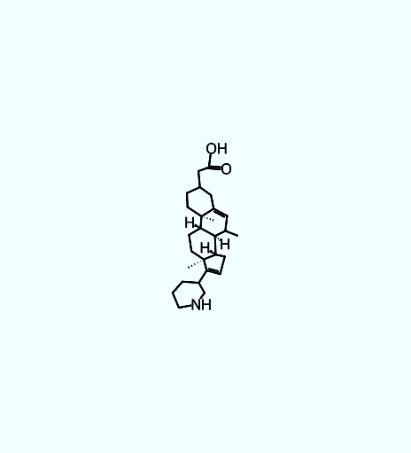 CC1C=C2CC(CC(=O)O)CC[C@]2(C)[C@H]2CC[C@]3(C)C(C4CCCNC4)=CC[C@H]3[C@H]12